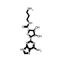 NCCCNC(=O)[C@H]1O[C@H](c2nc(N)c3nc[nH]c3n2)[C@H](O)[C@@H]1O